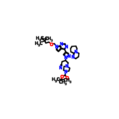 C1CCC2=NCCCN2CC1.CC(C)(C)OC(=O)N1CCN(CC(CC#N)n2cc(-c3ncnc4c3ccn4COCC[Si](C)(C)C)cn2)CC1